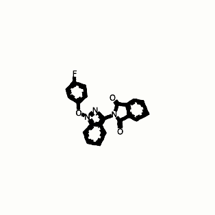 O=C1c2ccccc2C(=O)N1c1nn(Oc2ccc(F)cc2)c2ccccc12